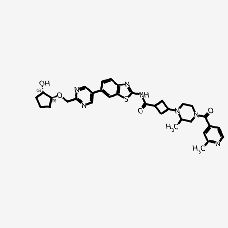 Cc1cc(C(=O)N2CCN(C3CC(C(=O)Nc4nc5ccc(-c6cnc(CO[C@H]7CCC[C@@H]7O)nc6)cc5s4)C3)C(C)C2)ccn1